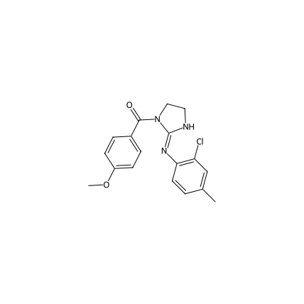 COc1ccc(C(=O)N2CCNC2=Nc2ccc(C)cc2Cl)cc1